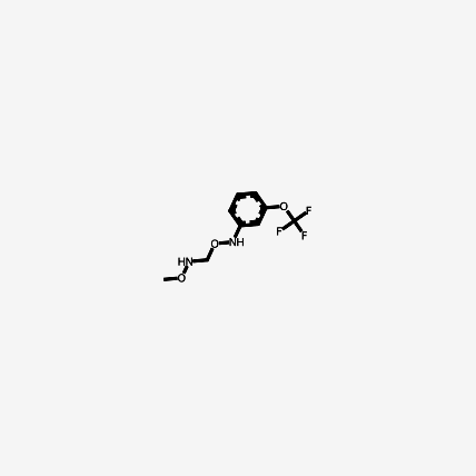 CONCONc1cccc(OC(F)(F)F)c1